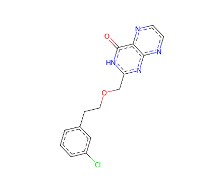 O=c1[nH]c(COCCc2cccc(Cl)c2)nc2nccnc12